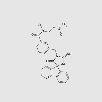 CCN(CC[S+](C)[O-])C(=O)C1=CC(CN2C(=N)NC(c3ccccc3)(c3ccccc3)C2=O)=CCC1